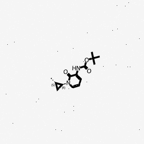 C[C@H]1C[C@H]1n1cccc(NC(=O)OC(C)(C)C)c1=O